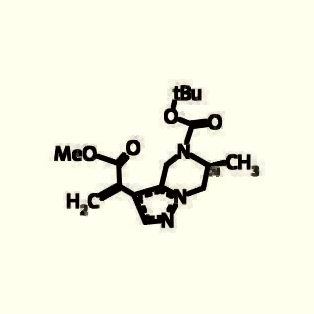 C=C(C(=O)OC)c1cnn2c1CN(C(=O)OC(C)(C)C)[C@@H](C)C2